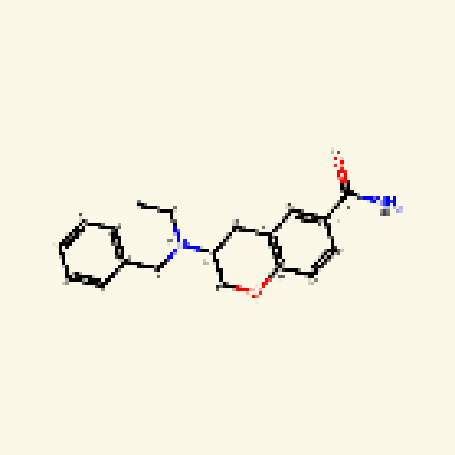 CCN(Cc1ccccc1)[C@@H]1COc2ccc(C(N)=O)cc2C1